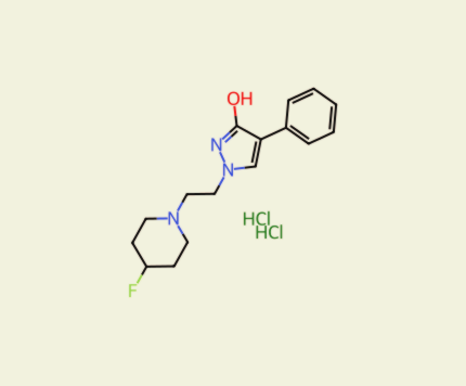 Cl.Cl.Oc1nn(CCN2CCC(F)CC2)cc1-c1ccccc1